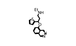 CCNCCC(Oc1cccc2cnncc12)c1cccs1